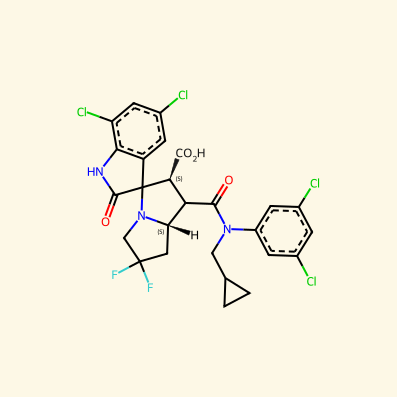 O=C(O)[C@H]1C(C(=O)N(CC2CC2)c2cc(Cl)cc(Cl)c2)[C@@H]2CC(F)(F)CN2C12C(=O)Nc1c(Cl)cc(Cl)cc12